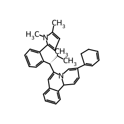 Cc1ccc(-c2ccccc2[C@@H](C2=Cc3ccccc3C3C=CC(C4=CC=CCC4)=CN23)C(C)C)n1C